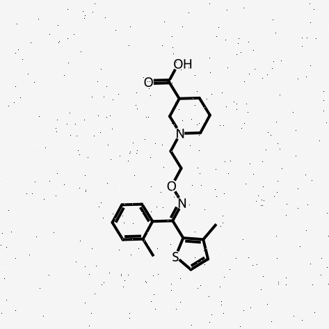 Cc1ccccc1/C(=N\OCCN1CCCC(C(=O)O)C1)c1sccc1C